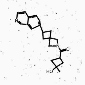 CC1(O)CC(C(=O)N2CC3(CC(c4ccc5ccncc5c4)C3)C2)C1